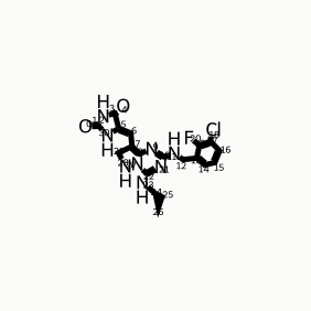 O=C1NC(=O)/C(=C/C2=C3N=C(NCc4cccc(Cl)c4F)N=C(NC4CC4)N3NC2)N1